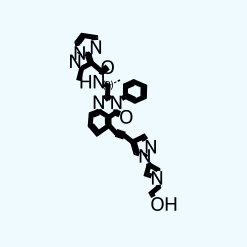 Cc1nn2cccnc2c1C(=O)N[C@H](C)c1nc2cccc(C#Cc3cnn(C4CN(CCO)C4)c3)c2c(=O)n1-c1ccccc1